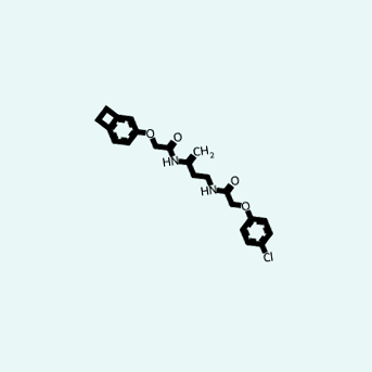 C=C(CCNC(=O)COc1ccc(Cl)cc1)NC(=O)COc1ccc2c(c1)CC2